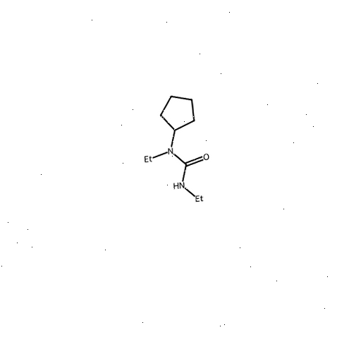 CCNC(=O)N(CC)C1CCCC1